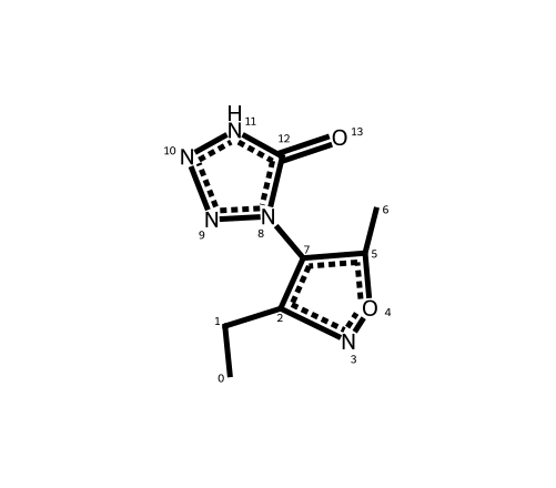 CCc1noc(C)c1-n1nn[nH]c1=O